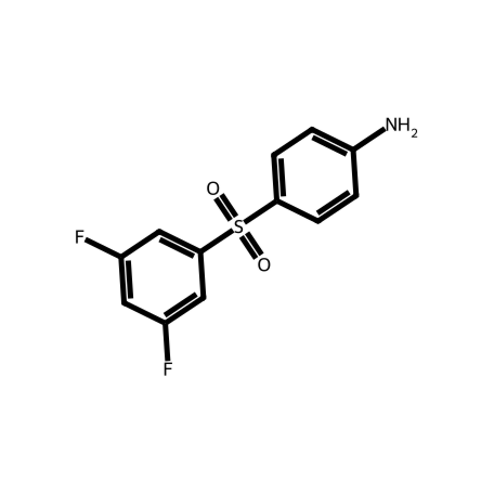 Nc1ccc(S(=O)(=O)c2cc(F)cc(F)c2)cc1